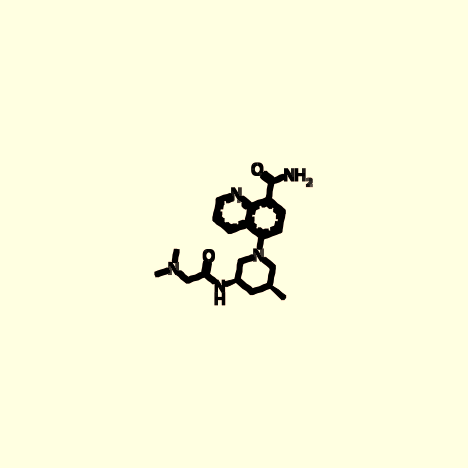 C[C@H]1C[C@@H](NC(=O)CN(C)C)CN(c2ccc(C(N)=O)c3ncccc23)C1